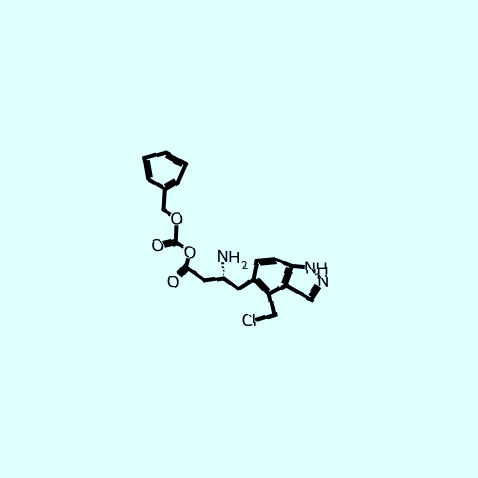 N[C@@H](CC(=O)OC(=O)OCc1ccccc1)Cc1ccc2[nH]ncc2c1CCl